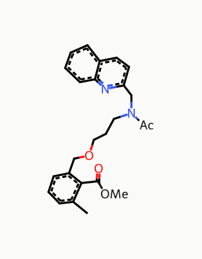 COC(=O)c1c(C)cccc1COCCCN(Cc1ccc2ccccc2n1)C(C)=O